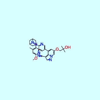 COc1cc(C)c(CN2C3CC2CN(c2ccc(-c4cc(OCC(C)(C)O)cn5ncc(C#N)c45)cn2)C3)cn1